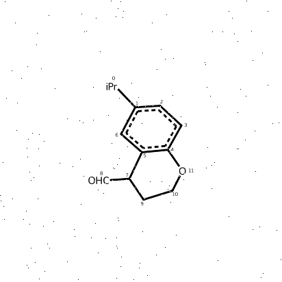 CC(C)c1ccc2c(c1)C(C=O)CCO2